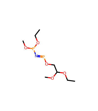 CCOC(COP=NP(OC)OCC)OC